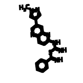 Cn1cc(-c2cnc3ccc(NC(=N)SC(=N)c4ccccc4)nc3c2)cn1